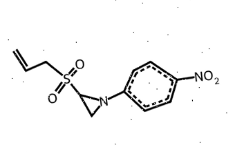 C=CCS(=O)(=O)C1CN1c1ccc([N+](=O)[O-])cc1